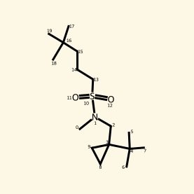 CN(CC1(C(C)(C)C)CC1)S(=O)(=O)CCCC(C)(C)C